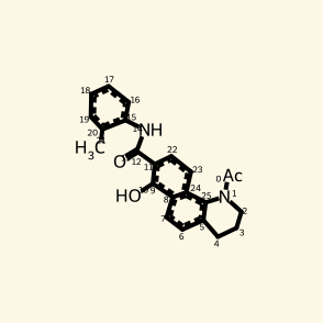 CC(=O)N1CCCc2ccc3c(O)c(C(=O)Nc4ccccc4C)ccc3c21